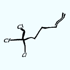 C=CCCC(Cl)(Cl)Cl